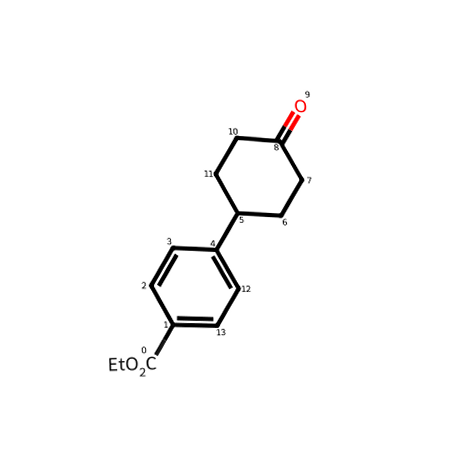 CCOC(=O)c1ccc(C2CCC(=O)CC2)cc1